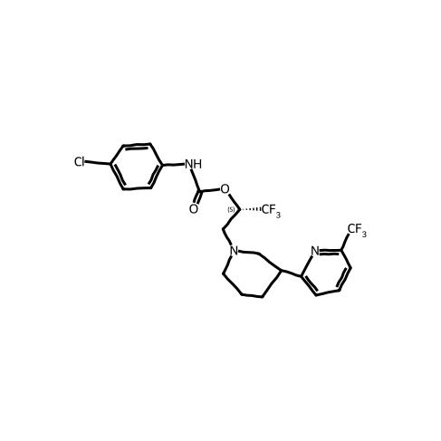 O=C(Nc1ccc(Cl)cc1)O[C@@H](CN1CCCC(c2cccc(C(F)(F)F)n2)C1)C(F)(F)F